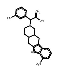 C=C(O)C(c1cccc(O)c1)N1CCC2Cc3[nH]c4c([N+](=O)[O-])cccc4c3CC2C1